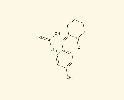 CC(=O)O.Cc1ccc(/C=C2/CCCCC2=O)cc1